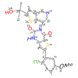 COc1ccc(Cl)c(-c2cc3[nH]c(=O)n(-c4cncc5cc(C(C)(C)O)sc45)c(=O)c3s2)c1